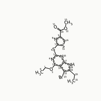 CCOc1nc(Sc2nc(C(=O)OC)cs2)nc2[nH]c(CC)c(Br)c12